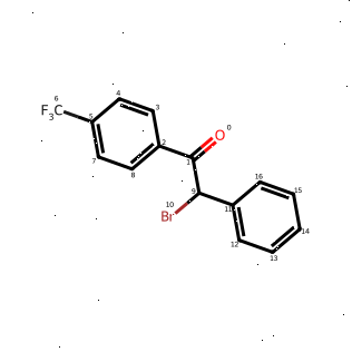 O=C(c1ccc(C(F)(F)F)cc1)C(Br)c1ccccc1